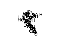 CC(C)NCC(O)c1cc(O)cc(O)c1.CC(C)NCC(O)c1cc(O)cc(O)c1.C[C@H]1C[C@@H]2[C@H]([C@@H](O)C[C@@]3(C)[C@H]2CC[C@]3(O)C(=O)CO)[C@@]2(C)C=CC(=O)C=C12.O=S(=O)(O)O